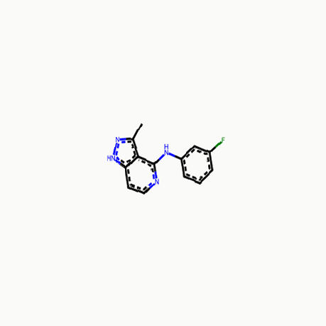 Cc1n[nH]c2ccnc(Nc3cccc(F)c3)c12